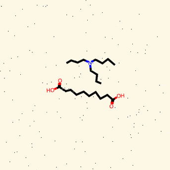 CCCCN(CCCC)CCCC.O=C(O)CCCCCCCCC(=O)O